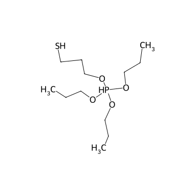 CCCO[PH](OCCC)(OCCC)OCCCS